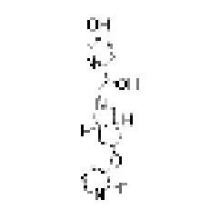 Oc1ccc(C(O)CN2C[C@H]3CC(Oc4cccnc4F)C[C@H]3C2)nc1